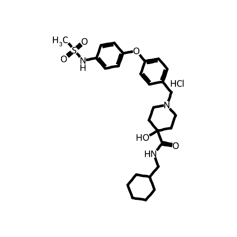 CS(=O)(=O)Nc1ccc(Oc2ccc(CN3CCC(O)(C(=O)NCC4CCCCC4)CC3)cc2)cc1.Cl